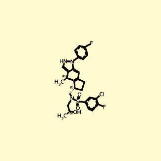 C[C@H]1C2=CNN(c3ccc(F)cc3)C2=CC2=C1[C@@H](CN(C[C@H](C)O)S(=O)(=O)c1ccc(F)c(Cl)c1)CC2